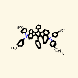 Cc1ccc(N(c2ccc(C(C)C)cc2)c2ccc3c4c(-c5ccccc5)c5c6ccc(N(c7ccc(C)cc7)c7ccc(C(C)C)cc7)c7cccc(c5c(-c5ccccc5)c4c4cccc2c43)c76)cc1